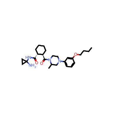 CCCCOc1cccc(N2CCN(C(=O)[C@@H]3CCCC[C@H]3C(=O)NC3(N)CC3)C(C)C2)c1